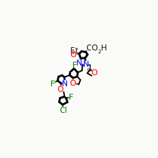 CCOc1cc(C(=O)O)cc2c1nc(Cc1c(F)cc(-c3ccc(F)c(OCc4ccc(Cl)cc4F)n3)c3c1CCO3)n2C[C@@H]1CCO1